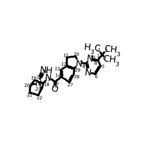 CC(C)(C)c1ccnc(N2CCc3cc(C(=O)NC4CC5CCC4N5C#N)ccc32)n1